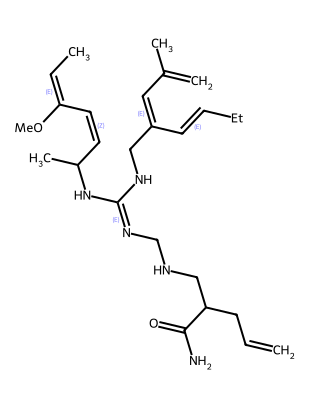 C=CCC(CNC/N=C(\NCC(/C=C/CC)=C/C(=C)C)NC(C)/C=C\C(=C/C)OC)C(N)=O